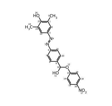 Cc1cc(/N=N/c2ccc(C(O)Oc3ccc([N+](=O)[O-])cc3)cc2)cc(C)c1O